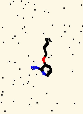 CC=CCOc1cccnc1N